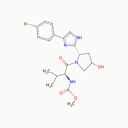 COC(=O)N[C@H](C(=O)N1CC(O)C[C@H]1c1nc(-c2ccc(Br)cc2)c[nH]1)C(C)C